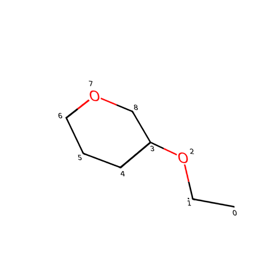 C[CH]OC1CCCOC1